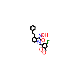 O=C1/C(=N\O)c2c(CCc3ccccc3)cccc2N1Cc1cc(F)cc2c1OCOC2